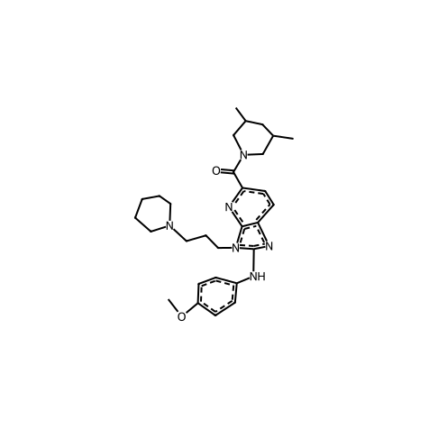 COc1ccc(Nc2nc3ccc(C(=O)N4CC(C)CC(C)C4)nc3n2CCCN2CCCCC2)cc1